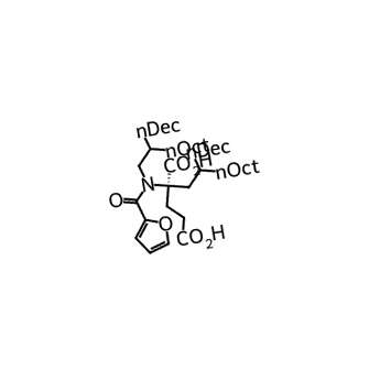 CCCCCCCCCCC(CCCCCCCC)CN(C(=O)c1ccco1)[C@](CCC(=O)O)(CC(CCCCCCCC)CCCCCCCCCC)C(=O)O